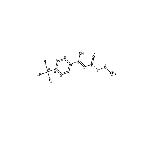 COCC(=O)/C=C(\O)c1ccc(C(F)(F)F)cc1